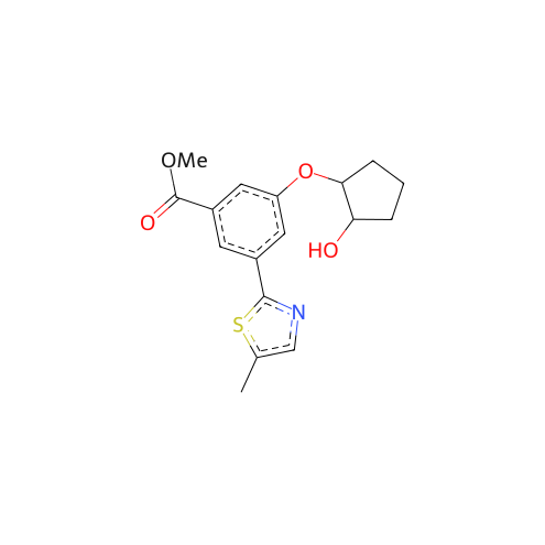 COC(=O)c1cc(OC2CCCC2O)cc(-c2ncc(C)s2)c1